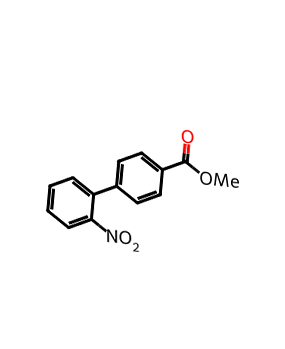 COC(=O)c1ccc(-c2ccccc2[N+](=O)[O-])cc1